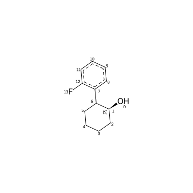 O[C@H]1CCCCC1c1ccccc1F